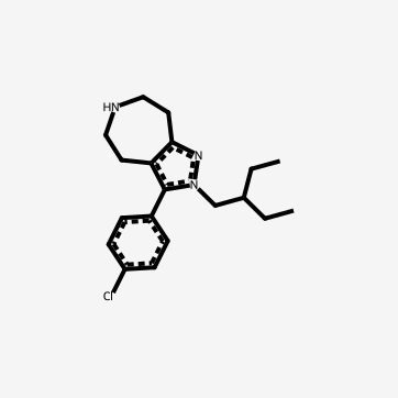 CCC(CC)Cn1nc2c(c1-c1ccc(Cl)cc1)CCNCC2